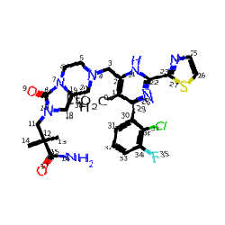 CCOC(=O)C1=C(CN2CCN3C(=O)N(CC(C)(C)C(N)=O)C[C@@H]3C2)NC(c2nccs2)=N[C@H]1c1cccc(F)c1Cl